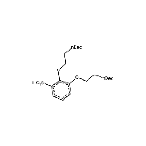 CCCCCCCCCCCCOc1cccc(S(=O)(=O)O)c1OCCCCCCCCCCCC